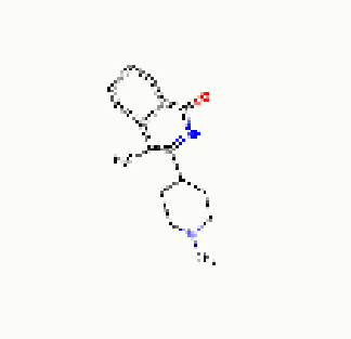 Cc1c(C2CCN(C)CC2)[nH]c(=O)c2ccccc12